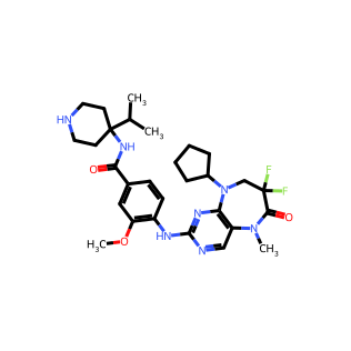 COc1cc(C(=O)NC2(C(C)C)CCNCC2)ccc1Nc1ncc2c(n1)N(C1CCCC1)CC(F)(F)C(=O)N2C